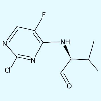 CC(C)[C@@H](C=O)Nc1nc(Cl)ncc1F